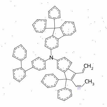 C=CC1=C(/C=C\C)C(c2ccccc2)(c2ccccc2)c2cc(N(c3ccc(-c4ccccc4-c4ccccc4)cc3)c3ccc4c(c3)-c3ccccc3C4(c3ccccc3)c3ccccc3)ccc21